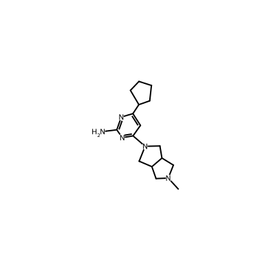 CN1CC2CN(c3cc(C4CCCC4)nc(N)n3)CC2C1